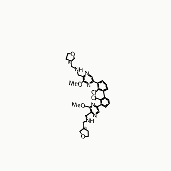 COc1nc(-c2cccc(-c3cccc(-c4cnc(CNC[C@H]5CCOC5)c(OC)n4)c3Cl)c2Cl)cnc1CNC[C@H]1CCOC1